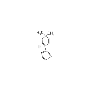 CC1(C)C=CC(c2ccccc2)=CC1.[Li]